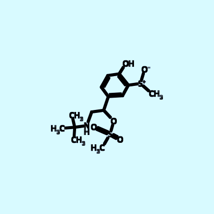 C[S+]([O-])c1cc(C(CNC(C)(C)C)OS(C)(=O)=O)ccc1O